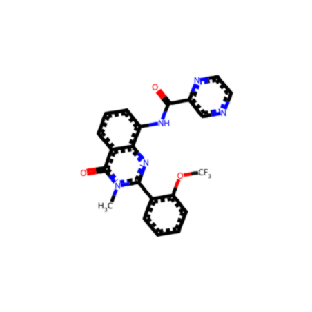 Cn1c(-c2ccccc2OC(F)(F)F)nc2c(NC(=O)c3cnccn3)cccc2c1=O